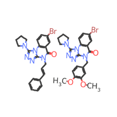 COc1ccc(Cn2c(=O)c3cc(Br)ccc3n3c(N4CCCC4)nnc23)cc1OC.O=c1c2cc(Br)ccc2n2c(N3CCCC3)nnc2n1CC=Cc1ccccc1